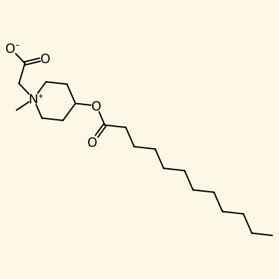 CCCCCCCCCCCC(=O)OC1CC[N+](C)(CC(=O)[O-])CC1